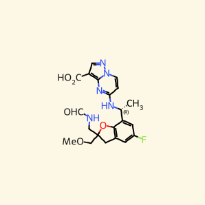 COCC1(CNC=O)Cc2cc(F)cc([C@@H](C)Nc3ccn4ncc(C(=O)O)c4n3)c2O1